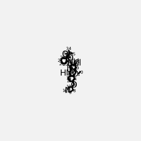 CCOc1cc(OC2CCN(C)C2)ccc1Nc1ncc(Cl)c(Nc2ccccc2S(=O)(=O)C(C)C)n1